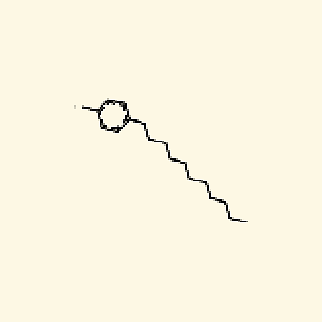 [CH2]c1ccc(CCCCCCCCCCC)cc1